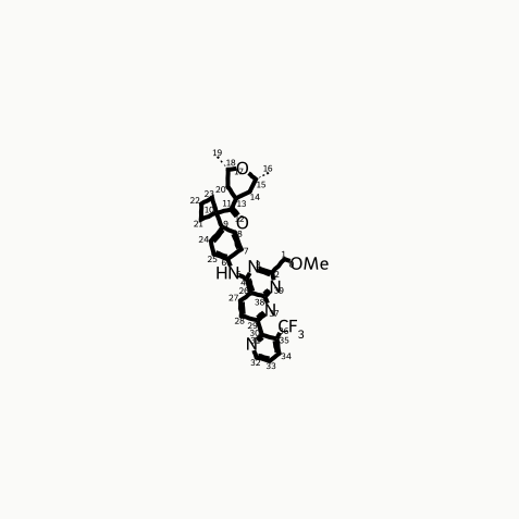 COCc1nc(Nc2ccc(C3(C(=O)C4C[C@@H](C)O[C@@H](C)C4)CCC3)cc2)c2ccc(-c3ncccc3C(F)(F)F)nc2n1